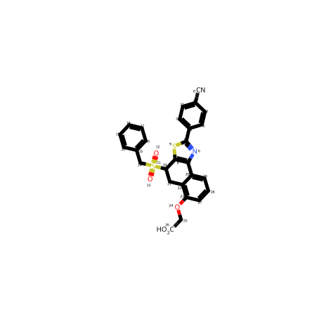 N#Cc1ccc(-c2nc3c(s2)C(S(=O)(=O)Cc2ccccc2)Cc2c(OCC(=O)O)cccc2-3)cc1